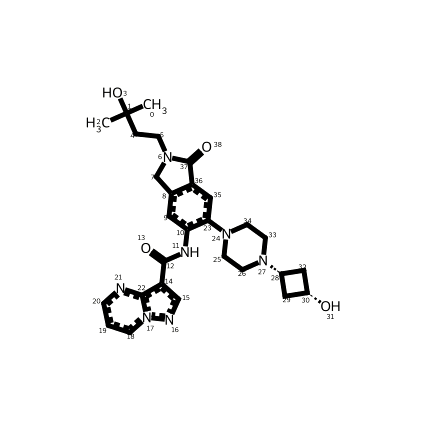 CC(C)(O)CCN1Cc2cc(NC(=O)c3cnn4cccnc34)c(N3CCN([C@H]4C[C@@H](O)C4)CC3)cc2C1=O